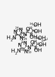 C=C.Nc1ncnc2c1ncn2[C@@H]1O[C@H](CO)[C@@H](O)[C@H]1O.Nc1ncnc2c1ncn2[C@@H]1O[C@H](CO)[C@@H](O)[C@H]1O